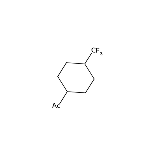 CC(=O)C1CCC(C(F)(F)F)CC1